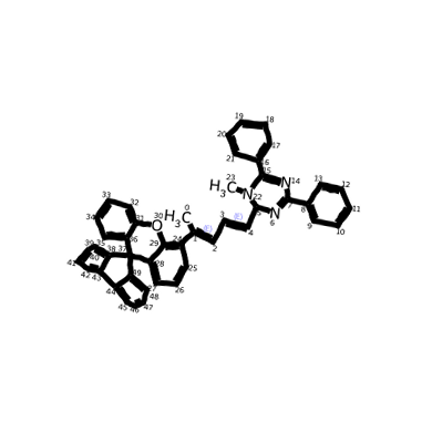 C/C(=C\C=C\C1N=C(c2ccccc2)N=C(c2ccccc2)N1C)c1cccc2c1Oc1ccccc1C21c2ccccc2-c2ccccc21